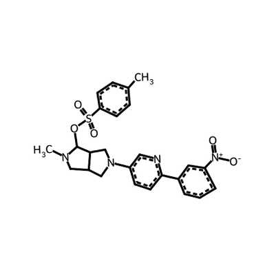 Cc1ccc(S(=O)(=O)OC2C3CN(c4ccc(-c5cccc([N+](=O)[O-])c5)nc4)CC3CN2C)cc1